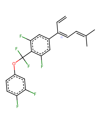 C=C/C(=C\C=C(C)C)c1cc(F)c(C(F)(F)Oc2ccc(F)c(F)c2)c(F)c1